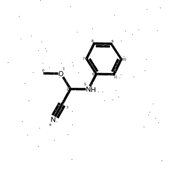 COC(C#N)Nc1ccccc1